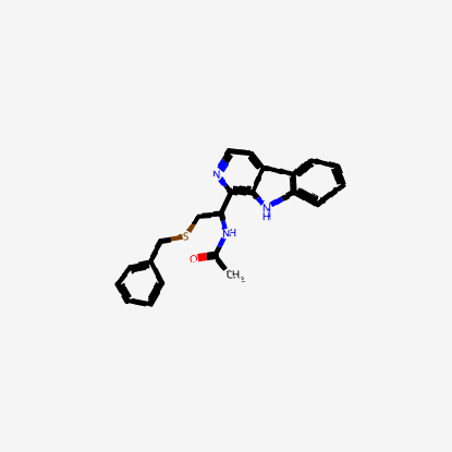 CC(=O)NC(CSCc1ccccc1)c1nccc2c1[nH]c1ccccc12